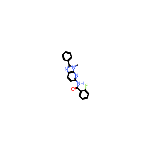 Cn1c(-c2ccccc2)nc2ccc(NC(=O)c3ccccc3F)nc21